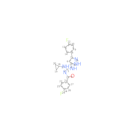 O=C(/N=C(\Nc1cc(-c2ccc(F)cc2)n[nH]1)NC1CC1)c1ccc(F)cc1